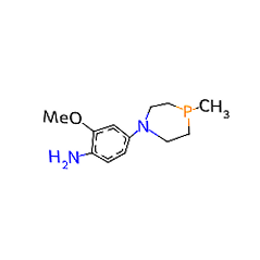 COc1cc(N2CCP(C)CC2)ccc1N